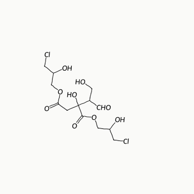 O=CC(CO)C(O)(CC(=O)OCC(O)CCl)C(=O)OCC(O)CCl